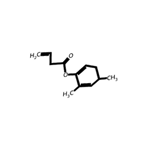 C=CCC(=O)OC1=CCC(C)C=C1C